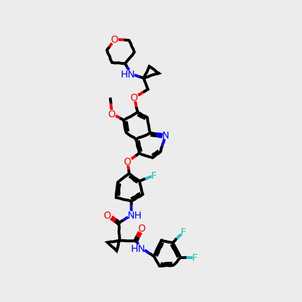 COc1cc2c(Oc3ccc(NC(=O)C4(C(=O)Nc5ccc(F)c(F)c5)CC4)cc3F)ccnc2cc1OCC1(NC2CCOCC2)CC1